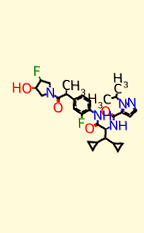 CC(C)n1nccc1C(=O)N[C@H](C(=O)Nc1ccc([C@H](C)C(=O)N2C[C@@H](O)[C@@H](F)C2)cc1F)C(C1CC1)C1CC1